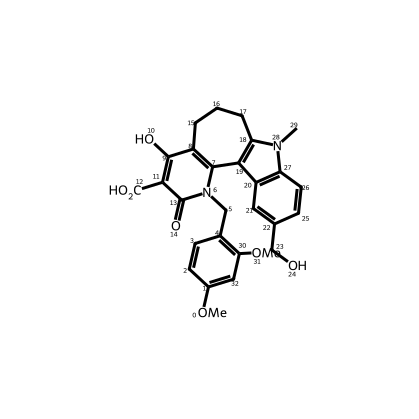 COc1ccc(Cn2c3c(c(O)c(C(=O)O)c2=O)CCCc2c-3c3cc(CO)ccc3n2C)c(OC)c1